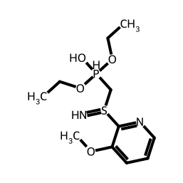 CCO[PH](O)(CS(=N)c1ncccc1OC)OCC